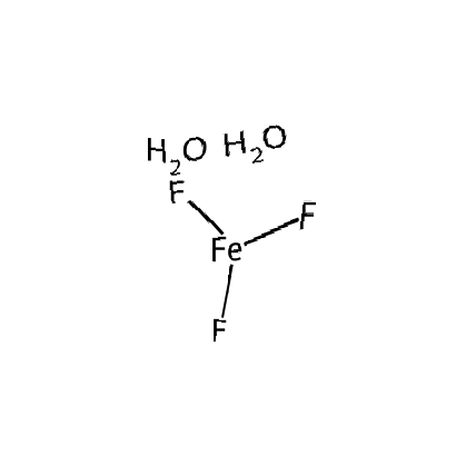 O.O.[F][Fe]([F])[F]